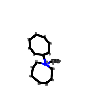 O=C([O-])[N+]1(C2CCCCCCC2)CCCCCCC1